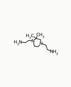 CC1(C)CN(CCN)CCN1CCN